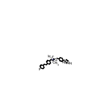 C/C(CC1C=CC(CCC2C=CC(F)CC2)CC1)=C(/C)OCC1C=CC(N2C=CNN2)CC1